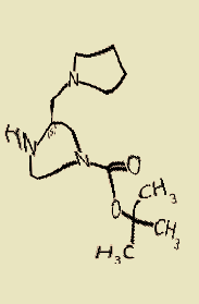 CC(C)(C)OC(=O)N1CCN[C@@H](CN2CCCC2)C1